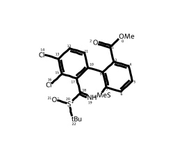 COC(=O)c1cccc(SC)c1-c1ccc(Cl)c(Cl)c1C(=N)[S+]([O-])C(C)(C)C